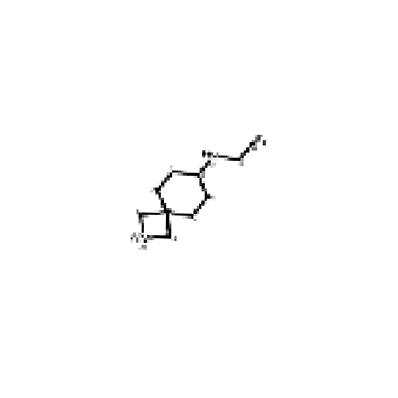 CC(C)CNC1CCC2(CC1)CNC2